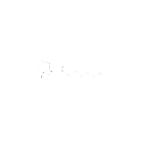 C=NC/C=C/CNC(=O)OC1C2=C=C[C@H]1C=C2